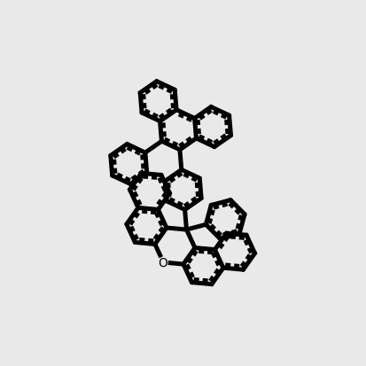 c1ccc(-c2c(-c3ccc(C4(c5ccccc5)c5c(ccc6ccccc56)Oc5ccc6ccccc6c54)cc3)c3ccccc3c3ccccc23)cc1